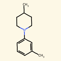 Cc1cccc(N2CCC(C)CC2)c1